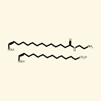 CCCCCCCC/C=C\CCCCCCCCCCCC(=O)NCCN.CCCCCCCC/C=C\CCCCCCCCCCCC(=O)O